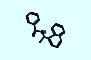 CC(NC(=O)c1ccccc1)c1cccc2ccccc12